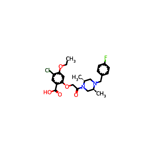 CCOc1cc(OCC(=O)N2C[C@H](C)N(Cc3ccc(F)cc3)C[C@H]2C)c(C(=O)O)cc1Cl